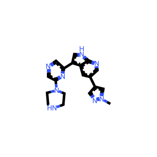 Cn1cc(-c2cnc3[nH]cc(-c4cncc(N5CCNCC5)n4)c3c2)cn1